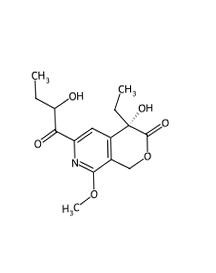 CCC(O)C(=O)c1cc2c(c(OC)n1)COC(=O)[C@]2(O)CC